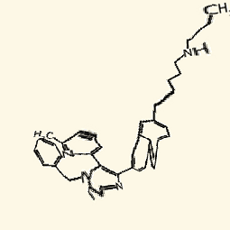 CCCNCCCCCC1=C/C=C/C=c2\ccc(-c3nnn(Cc4ccccc4)c3-c3cccc(C)n3)c\c2=C\1